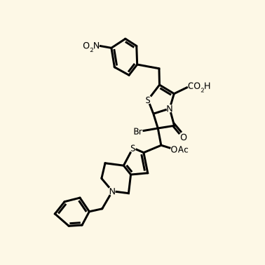 CC(=O)OC(c1cc2c(s1)CCN(Cc1ccccc1)C2)C1(Br)C(=O)N2C(C(=O)O)=C(Cc3ccc([N+](=O)[O-])cc3)SC21